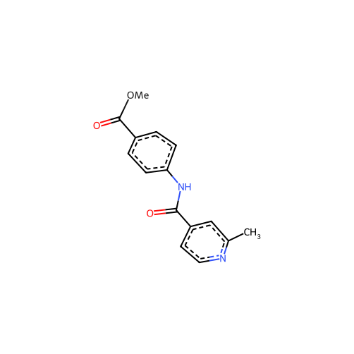 COC(=O)c1ccc(NC(=O)c2ccnc(C)c2)cc1